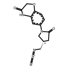 [N-]=[N+]=NC[C@H]1CC(=O)N(c2ccc3c(c2)NC(=O)CO3)C1